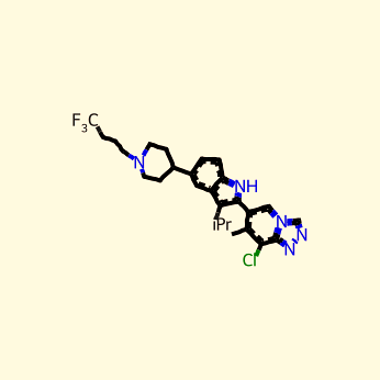 Cc1c(-c2[nH]c3ccc(C4CCN(CCCC(F)(F)F)CC4)cc3c2C(C)C)cn2cnnc2c1Cl